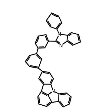 c1ccc(-n2c(-c3cccc(-c4cccc(-c5ccc6c(c5)c5cccc7c8ccccc8n6c75)c4)c3)nc3ccccc32)cc1